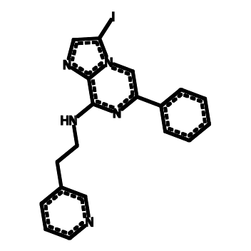 Ic1cnc2c(NCCc3cccnc3)nc(-c3ccccc3)cn12